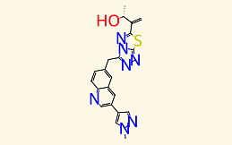 C=C(c1nn2c(Cc3ccc4ncc(-c5cnn(C)c5)cc4c3)nnc2s1)[C@@H](C)O